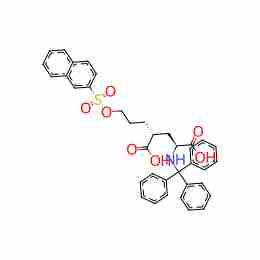 O=C(O)[C@H](CCCOS(=O)(=O)c1ccc2ccccc2c1)C[C@H](NC(c1ccccc1)(c1ccccc1)c1ccccc1)C(=O)O